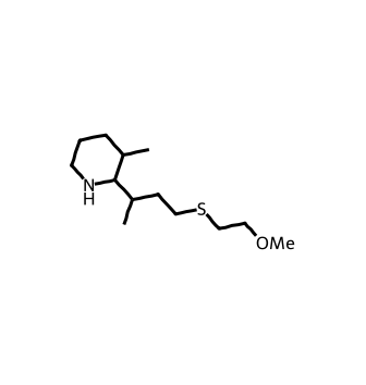 COCCSCCC(C)C1NCCCC1C